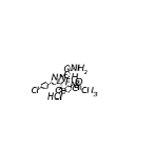 CCCS(=O)(=O)Nc1ccc(F)c(C(=O)c2cn(COC(=O)CN)c3ncc(-c4ccc(Cl)cc4)cc23)c1F.Cl